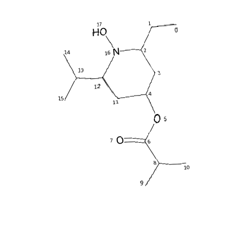 CCC1CC(OC(=O)C(C)C)CC(C(C)C)N1O